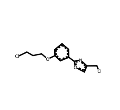 ClCCCOc1cccc(-c2nc(CCl)co2)c1